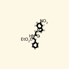 CCOC(=O)[C@H](Cc1ccccc1)NC(=O)Cn1ccc2cc([N+](=O)[O-])ccc21